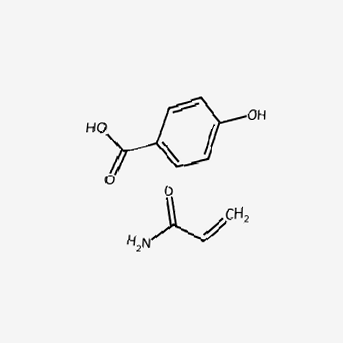 C=CC(N)=O.O=C(O)c1ccc(O)cc1